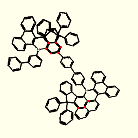 c1ccc(-c2cccc(N(c3cccc4c3-c3ccccc3C4(c3ccccc3)c3ccccc3)c3c(-c4cccc5cc(-c6ccc(-c7ccc(N(c8cccc9c8-c8ccccc8C9(c8ccccc8)c8ccccc8)c8c(-c9ccc%10ccccc%10c9)c9ccccc9c9ccccc89)cc7)cc6)ccc45)c4ccccc4c4ccccc34)c2)cc1